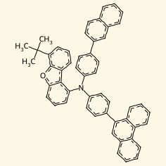 CC(C)(C)c1cccc2c1oc1cccc(N(c3ccc(-c4ccc5ccccc5c4)cc3)c3ccc(-c4cc5ccccc5c5ccccc45)cc3)c12